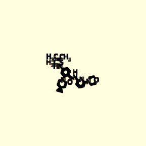 CC(C)(C)SNc1ccc(C(=O)Nc2cccc(N3CCOCC3)n2)c(N2CCC3(CC2)CC3)c1